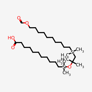 CC(C)(C[Si](C)(C)CCCCCCCCCCOC=O)O[Si](C)(C)CCCCCCCCCCC(=O)O